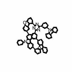 c1ccc(-c2ccc3c(c2)c2ccc(-c4ccc5oc6cccc(-c7nc(-c8cccc(-c9ccc%10c(c9)oc9ccccc9%10)c8)nc(-c8cccc(-n9c%10ccccc%10c%10ccccc%109)c8)n7)c6c5c4)cc2n3-c2ccccc2)cc1